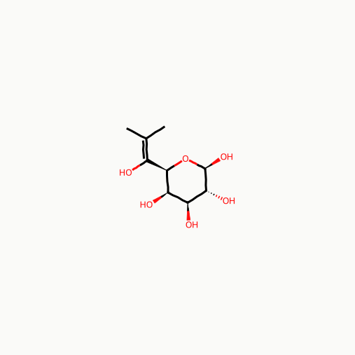 CC(C)=C(O)[C@H]1O[C@@H](O)[C@H](O)[C@@H](O)[C@H]1O